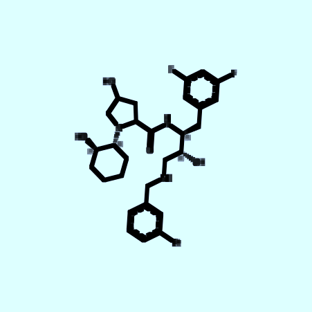 CCc1cccc(CNC[C@@H](O)[C@H](Cc2cc(F)cc(F)c2)NC(=O)C2CC(O)CN2[C@@H]2CCCC[C@H]2O)c1